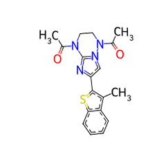 CC(=O)N1CCN(C(C)=O)n2cc(-c3sc4ccccc4c3C)nc21